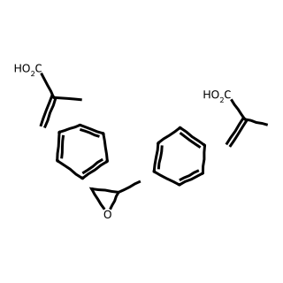 C=C(C)C(=O)O.C=C(C)C(=O)O.CC1CO1.c1ccccc1.c1ccccc1